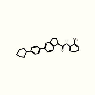 O=C(NC1=CCCC=C1C(F)(F)F)N1CCc2cc(-c3ccc(C4CCCCC4)cc3)ccc21